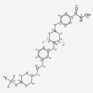 C[C@@H]1CN(Cc2ccc(C(=O)NO)cc2)C[C@H](C)N1Cc1cccc(COCC2CCN(CC(C)(C)F)CC2)c1